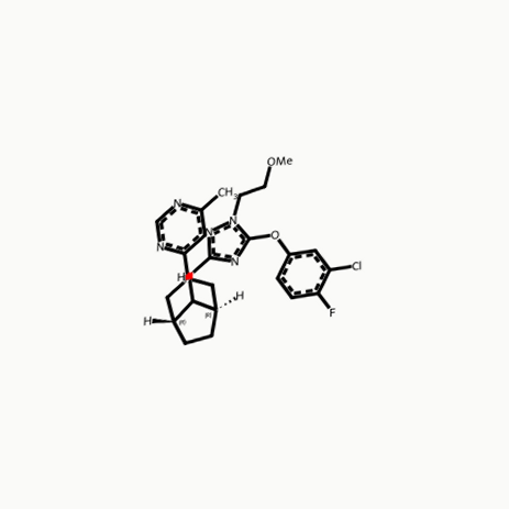 COCCn1nc(NC2[C@@H]3CC[C@@H]2CN(c2cc(C)ncn2)C3)nc1Oc1ccc(F)c(Cl)c1